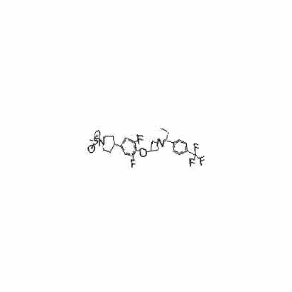 CCC(c1ccc(C(F)(F)F)cc1)N1CC(Oc2c(F)cc(C3CCN(S(C)(=O)=O)CC3)cc2F)C1